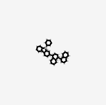 c1ccc(-n2c3ccccc3c3ccc(-c4ccc(-c5cccc6ccccc56)c5ccccc45)cc32)cc1